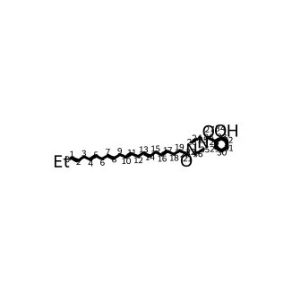 CC/C=C/C/C=C/C/C=C/C/C=C/C/C=C/C/C=C/CCC(=O)N1CCN(C(=O)c2ccccc2O)CC1